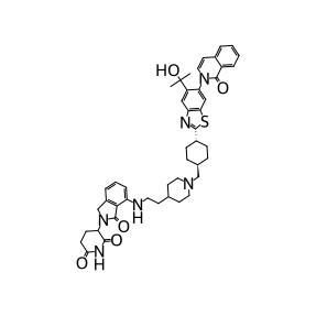 CC(C)(O)c1cc2nc([C@H]3CC[C@H](CN4CCC(CCNc5cccc6c5C(=O)N(C5CCC(=O)NC5=O)C6)CC4)CC3)sc2cc1-n1ccc2ccccc2c1=O